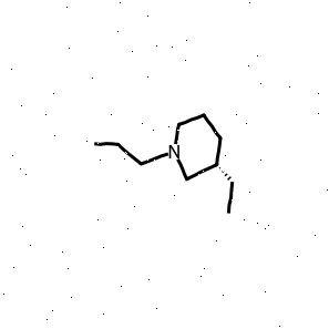 CCCN1CCC[C@H](CC)C1